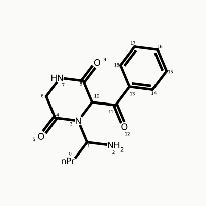 CCCC(N)N1C(=O)CNC(=O)C1C(=O)c1ccccc1